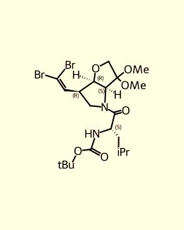 COC1(OC)CO[C@@H]2[C@H](C=C(Br)Br)CN(C(=O)[C@H](CC(C)C)NC(=O)OC(C)(C)C)[C@@H]21